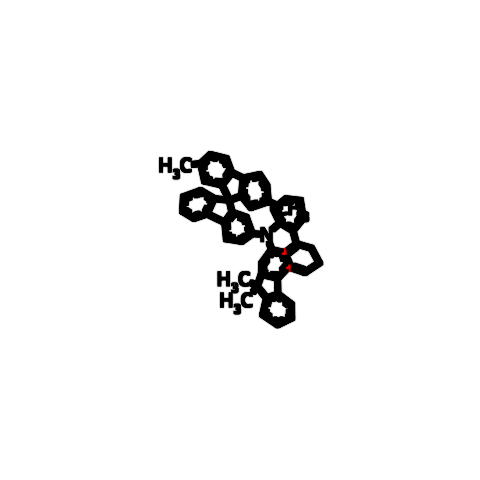 Cc1ccc2c(c1)C1(c3ccccc3-c3ccc(N(c4ccc5c(c4)C(C)(C)c4ccccc4-5)c4ccccc4C4=CC=CCC4)cc31)c1cc(C)ccc1-2